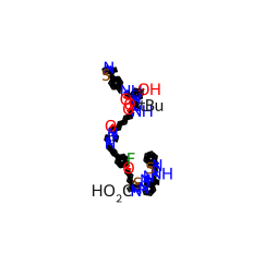 Cc1ncsc1-c1ccc(CNC(=O)[C@@H]2C[C@@H](O)CN2C(=O)C(NC(=O)CCCCCC(=O)N2CCN(CC#Cc3ccc(OCCCc4sc(N5CCCc6c5nnc(Nc5nc7ccccc7s5)c6C)nc4C(=O)O)c(F)c3)CC2)C(C)(C)C)cc1